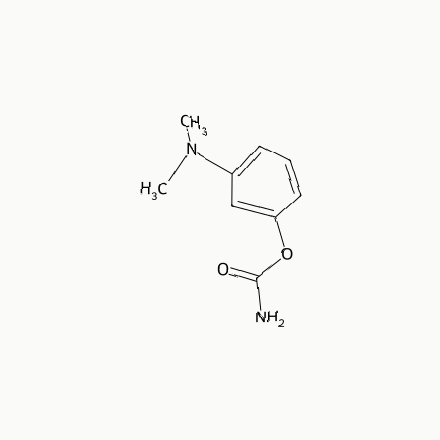 CN(C)c1cccc(OC(N)=O)c1